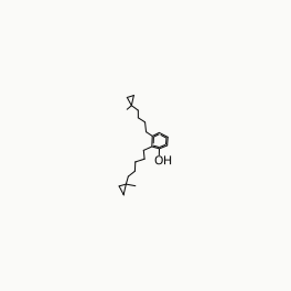 CC1(CCCCCc2c(O)cccc2CCCCC2(C)CC2)CC1